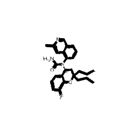 CCCC1(CCC)C[C@@H](N(C(N)=O)c2cccc3cnc(C)cc23)c2cccc(F)c2O1